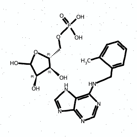 Cc1ccccc1CNc1ncnc2nc[nH]c12.O=P(O)(O)OC[C@H]1OC(O)[C@H](O)[C@@H]1O